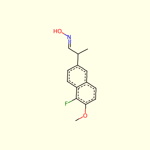 COc1ccc2cc(C(C)C=NO)ccc2c1F